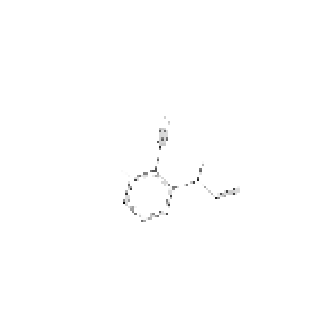 C=CC(O)c1cccc(O)c1C#N